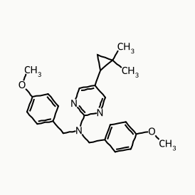 COc1ccc(CN(Cc2ccc(OC)cc2)c2ncc(C3CC3(C)C)cn2)cc1